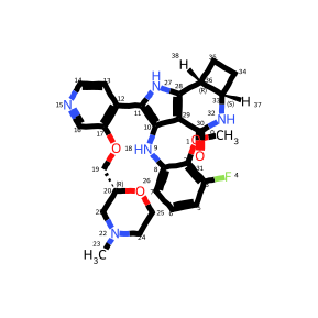 COc1c(F)cccc1Nc1c(-c2ccncc2OC[C@H]2CN(C)CCO2)[nH]c2c1C(=O)N[C@H]1CC[C@@H]21